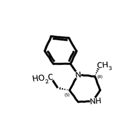 C[C@@H]1CNC[C@H](CC(=O)O)N1c1ccccc1